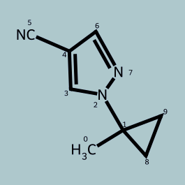 CC1(n2cc(C#N)cn2)CC1